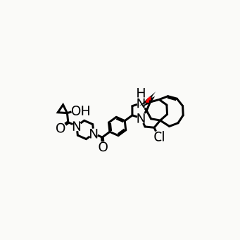 O=C(c1ccc(C2CNC34CC5(CCCC/C=C\C(CC5)C35CCCCCC5)C(Cl)CN24)cc1)N1CCN(C(=O)C2(O)CC2)CC1